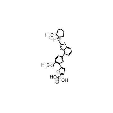 COc1ccc(-c2cccc3nc(N[C@H]4CCCC[C@@H]4C)sc23)cc1-c1ccc(P(=O)(O)O)o1